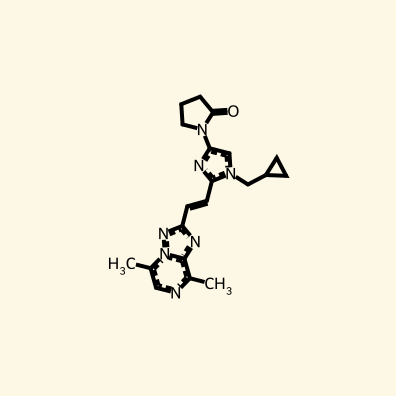 Cc1ncc(C)n2nc(C=Cc3nc(N4CCCC4=O)cn3CC3CC3)nc12